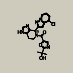 CC(C)(O)c1ncc(C(=O)N2CCc3[nH]cnc3[C@H]2c2cc3c(Cl)cccn3n2)o1